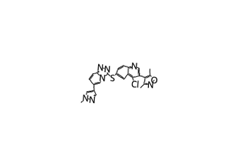 Cc1noc(C)c1-c1cnc2ccc(Sc3nnc4ccc(-c5cnn(C)c5)cn34)cc2c1Cl